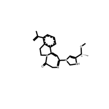 C=C(C)c1cccc2c1CCN1C(=O)CN=C(N3C=C([C@@H](C)OC)NC3)C=C21